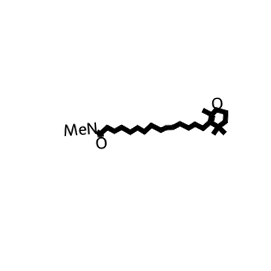 CNC(=O)CCCCCCCCCCCCCCC1=C(C)C(=O)CCC1(C)C